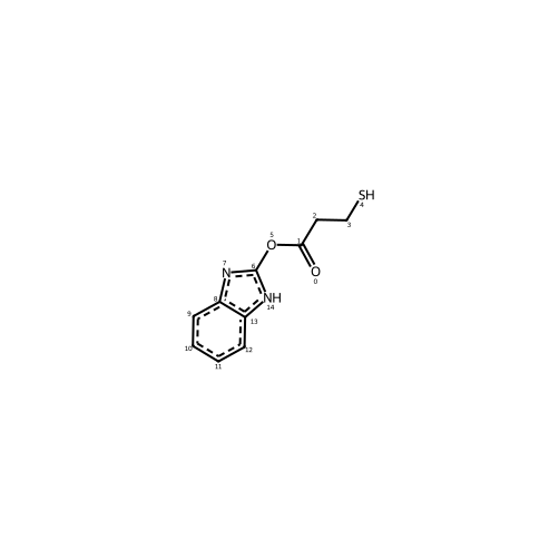 O=C(CCS)Oc1nc2ccccc2[nH]1